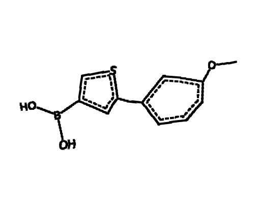 COc1cccc(-c2cc(B(O)O)cs2)c1